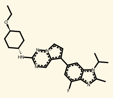 CCO[C@H]1CC[C@H](Nc2ncc3c(-c4cc(F)c5nc(C)n(C(C)C)c5c4)ccn3n2)CC1